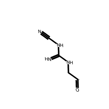 N#CNC(=N)NC[C]=O